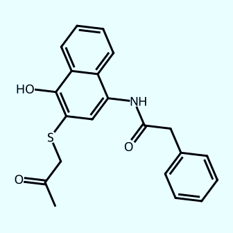 CC(=O)CSc1cc(NC(=O)Cc2ccccc2)c2ccccc2c1O